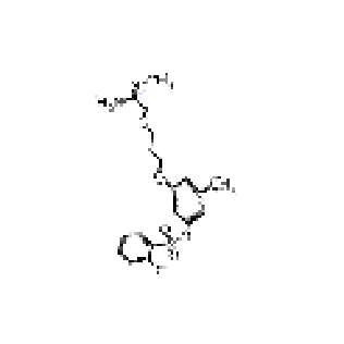 C/N=C(/N)CSCCCOc1cc(C)cc(OS(=O)(=O)c2ccccc2Cl)c1